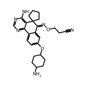 N#CCCO/N=C1\c2cc(OC3CCC(N)CC3)ccc2-c2ncnc(N)c2C12CCCC2